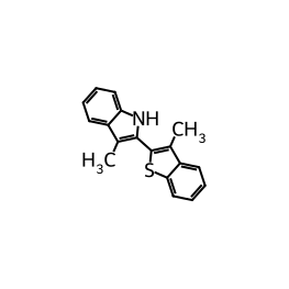 Cc1c(-c2sc3ccccc3c2C)[nH]c2ccccc12